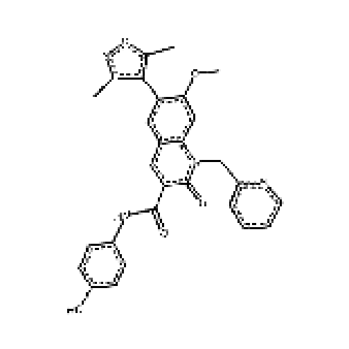 COc1cc2c(cc1-c1c(C)noc1C)cc(C(=O)Nc1ccc(O)cc1)c(=O)n2Cc1ccccn1